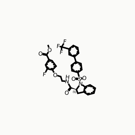 COC(=O)c1ccc(OCCNC(=O)[C@@H]2Cc3ccccc3N2S(=O)(=O)c2ccc(-c3cccc(C(F)(F)F)c3)cc2)c(F)c1